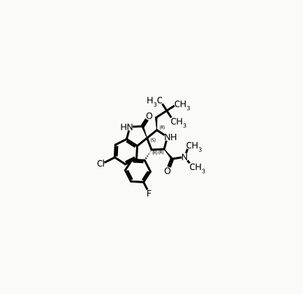 CN(C)C(=O)[C@@H]1N[C@H](CC(C)(C)C)[C@]2(C(=O)Nc3cc(Cl)ccc32)[C@H]1c1cccc(F)c1